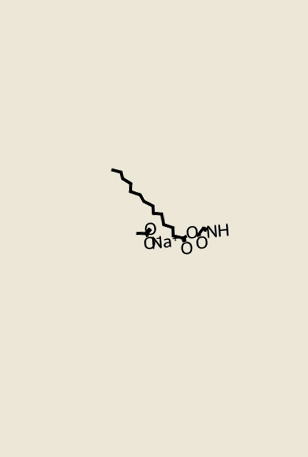 CC(=O)[O-].CCCCCCCCCCCCCC(=O)OC(=O)C=N.[Na+]